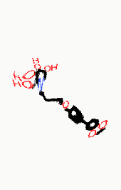 OC[C@@H]1[C@@H](O)[C@H](O)[C@@H](O)CN1CCCCCOCc1ccc(-c2ccc3c(c2)OCCO3)cc1